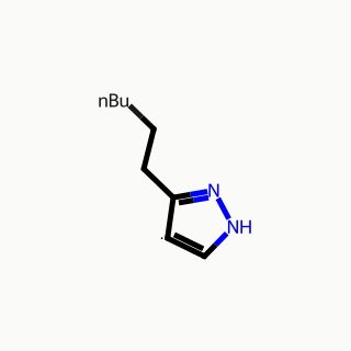 CCCCCCc1[c]c[nH]n1